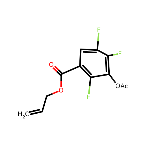 C=CCOC(=O)c1cc(F)c(F)c(OC(C)=O)c1F